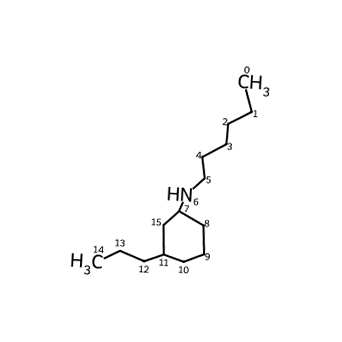 CCCCCCNC1CCCC(CCC)C1